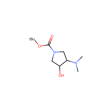 CN(C)C1CN(C(=O)OC(C)(C)C)CC1O